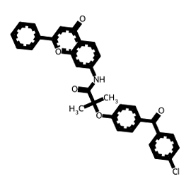 CC(C)(Oc1ccc(C(=O)c2ccc(Cl)cc2)cc1)C(=O)Nc1ccc2c(=O)cc(-c3ccccc3)oc2c1